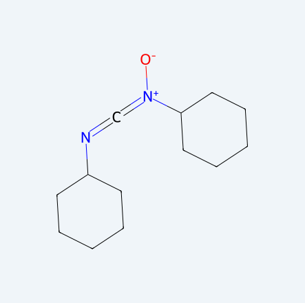 [O-][N+](=C=NC1CCCCC1)C1CCCCC1